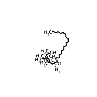 CCCCC/C=C\C/C=C\CCCCCCCCOC(=O)C(C)(C)CC(C)CN(CC(C)(C)C)C(C)(C)C